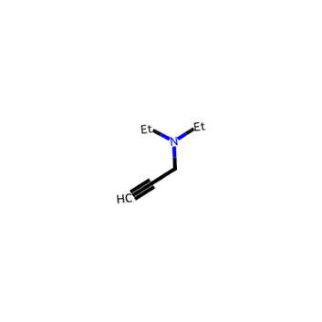 C#CCN(C[CH2])C[CH2]